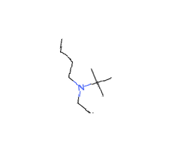 [CH2]CN(CCCC)C(C)(C)C